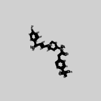 CCN(C(=O)Cc1ccc(S(C)(=O)=O)cc1)C1CCN(CCC(O)c2ccc(F)cc2)CC1